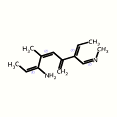 C=C(/C=C(C)\C(N)=C/C)C(/C=N\C)=C/C